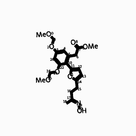 COCOc1cc(CC(=O)OC)c(-c2ccc(CCC(C)=NO)o2)c(OCOC)c1